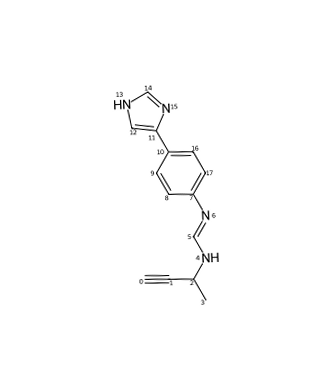 C#CC(C)N/C=N/c1ccc(-c2c[nH]cn2)cc1